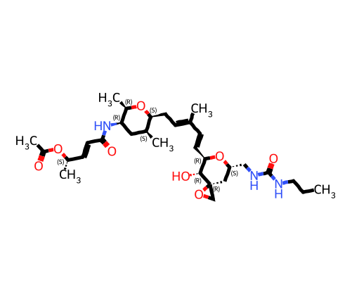 CCCNC(=O)NC[C@@H]1C[C@@]2(CO2)[C@H](O)[C@@H](C=CC(C)=CC[C@@H]2O[C@H](C)[C@H](NC(=O)C=C[C@H](C)OC(C)=O)C[C@@H]2C)O1